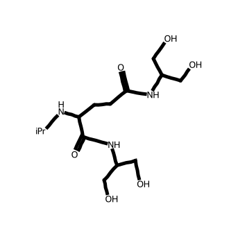 CC(C)NC(CCC(=O)NC(CO)CO)C(=O)NC(CO)CO